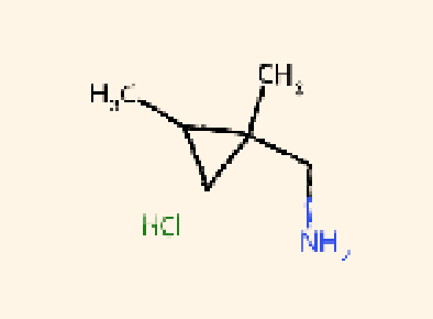 CC1CC1(C)CN.Cl